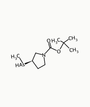 C[AsH][C@@H]1CCN(C(=O)OC(C)(C)C)C1